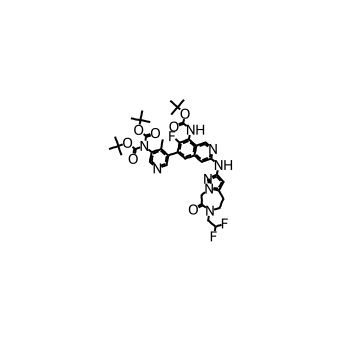 Cc1c(-c2cc3cc(Nc4cc5n(n4)CC(=O)N(CC(F)F)CC5)ncc3c(NC(=O)OC(C)(C)C)c2F)cncc1N(C(=O)OC(C)(C)C)C(=O)OC(C)(C)C